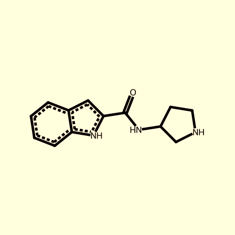 O=C(NC1CCNC1)c1cc2ccccc2[nH]1